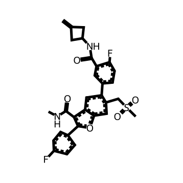 C=C1CC(NC(=O)c2cc(-c3cc4c(C(=O)NC)c(-c5ccc(F)cc5)oc4cc3CS(C)(=O)=O)ccc2F)C1